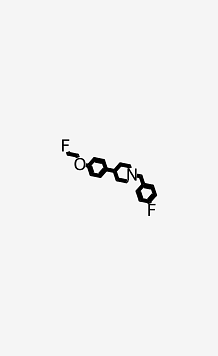 FCCOc1ccc(C2CCN(Cc3ccc(F)cc3)CC2)cc1